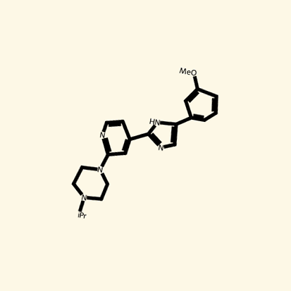 COc1cccc(-c2cnc(-c3ccnc(N4CCN(C(C)C)CC4)c3)[nH]2)c1